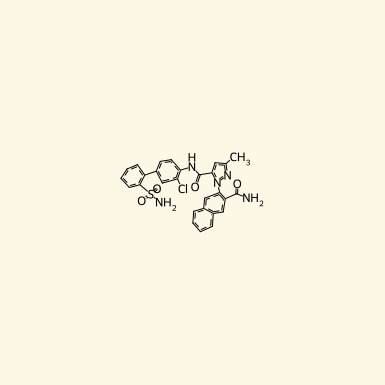 Cc1cc(C(=O)Nc2ccc(-c3ccccc3S(N)(=O)=O)cc2Cl)n(-c2cc3ccccc3cc2C(N)=O)n1